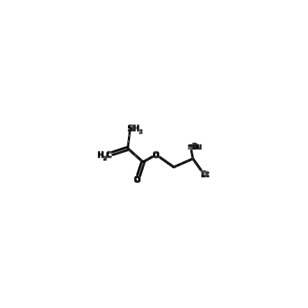 C=C([SiH3])C(=O)OCC(CC)CCCC